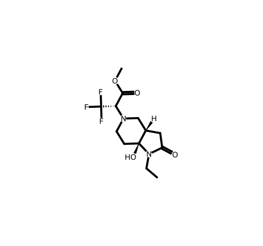 CCN1C(=O)C[C@H]2CN([C@@H](C(=O)OC)C(F)(F)F)CC[C@]21O